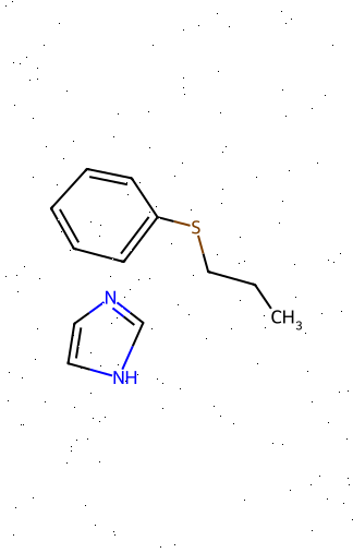 CCCSc1ccccc1.c1c[nH]cn1